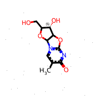 Cc1cn2c(nc1=O)OC1C2OC(CO)[C@@H]1O